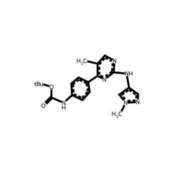 Cc1cnc(Nc2cnn(C)c2)nc1-c1ccc(NC(=O)OC(C)(C)C)cc1